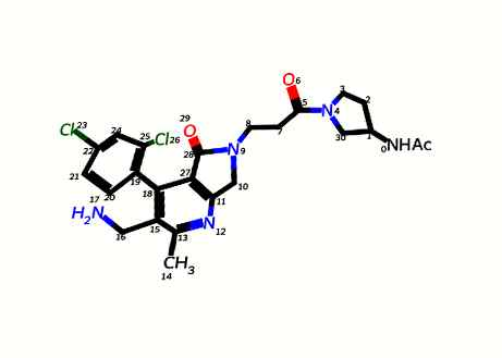 CC(=O)NC1CCN(C(=O)CCN2Cc3nc(C)c(CN)c(-c4ccc(Cl)cc4Cl)c3C2=O)C1